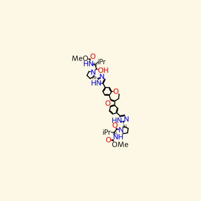 COC(=O)N[C@@H](C(C)C)C(O)N1CCC[C@H]1c1ncc(-c2ccc3c(c2)OCCc2c-3oc3ccc(-c4cnc([C@@H]5CCCN5C(=O)[C@@H](NC(=O)OC)C(C)C)[nH]4)cc23)[nH]1